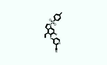 C=Cc1c(Sc2ccnc(C#N)c2)c(F)cc2c1ccn2S(=O)(=O)c1ccc(C)cc1